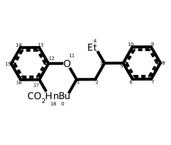 CCCCC(CC(CC)c1ccccc1)Oc1ccccc1C(=O)O